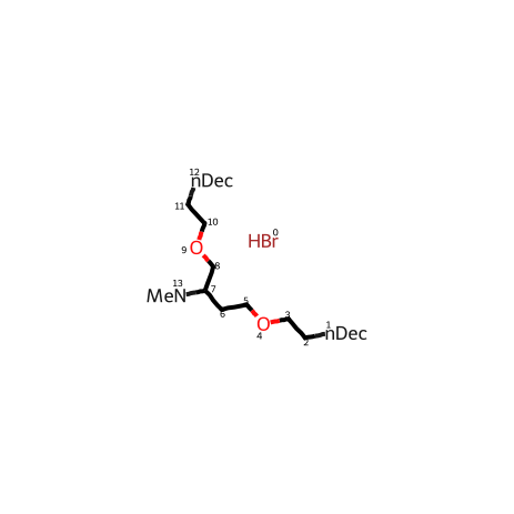 Br.CCCCCCCCCCCCOCCC(COCCCCCCCCCCCC)NC